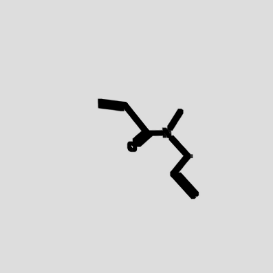 C=C[CH]N(C)C(=O)C=C